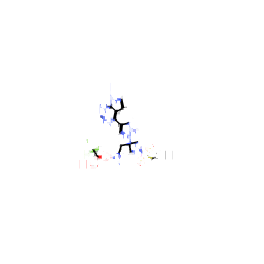 CCS(=O)(=O)N1CC(CC#N)(n2cc(-c3ncnc4[nH]ccc34)cn2)C1.O=C(O)C(F)(F)F